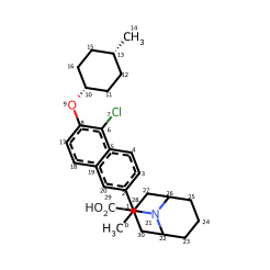 CC(c1ccc2c(Cl)c(O[C@H]3CC[C@@H](C)CC3)ccc2c1)N1C2CCCC1CC(C(=O)O)C2